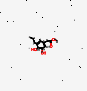 CCCc1cc(CC(=O)OC)cc(O)c1O